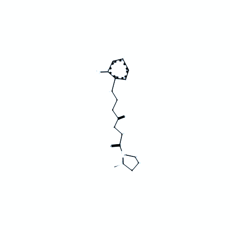 O=C[C@@H]1CCCN1C(=O)CCC(=O)CCCc1ccccc1[N+](=O)[O-]